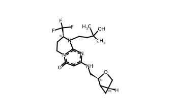 CC(C)(O)CCN1c2nc(NC[C@H]3OC[C@@H]4CC43)cc(=O)n2CC[C@H]1C(F)(F)F